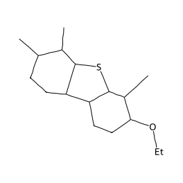 CCOC1CCC2C3CCC(C)C(C)C3SC2C1C